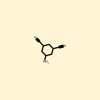 N#CC1CC(N)CC(C#N)C1